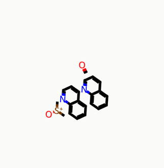 C=O.C[S+](C)[O-].c1ccc2ncccc2c1.c1ccc2ncccc2c1